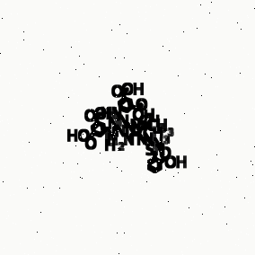 CC(C)(C)c1nn(-c2nc(Nc3cc(C(=O)O)cc(C(=O)O)c3)nc(Nc3cc(C(=O)O)cc(C(=O)O)c3)n2)c(N)c1/N=N/c1nnc(-c2ccccc2C(=O)O)s1